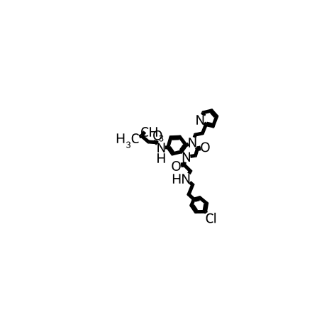 CC(C)CC(=O)Nc1ccc2c(c1)N(C(=O)CNCCc1ccc(Cl)cc1)CC(=O)N2CCc1ccccn1